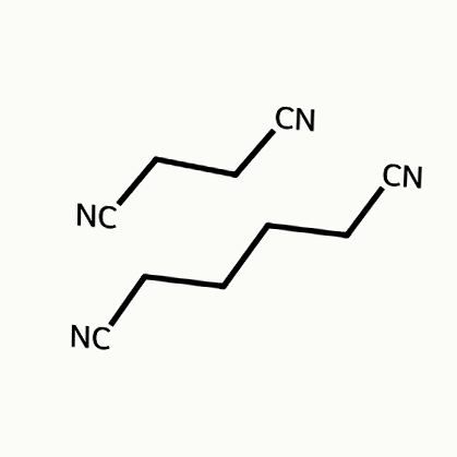 N#CCCC#N.N#CCCCCC#N